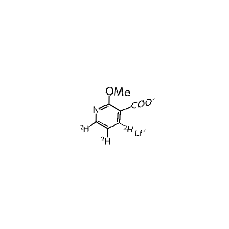 [2H]c1nc(OC)c(C(=O)[O-])c([2H])c1[2H].[Li+]